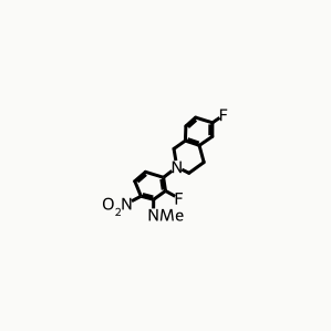 CNc1c([N+](=O)[O-])ccc(N2CCc3cc(F)ccc3C2)c1F